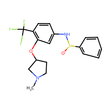 CN1CCC(Oc2cc(N[S+]([O-])c3ccccc3)ccc2C(F)(F)F)C1